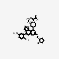 C=C(Cl)C(=O)N1CCN(c2nc(OC[C@@H]3CCCN3C)nc3cc(-c4cc(N)ccc4C(F)(F)F)c4ccoc4c23)C[C@@H]1CC#N